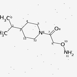 CC(C)C1CCN(C(=O)CON)CC1